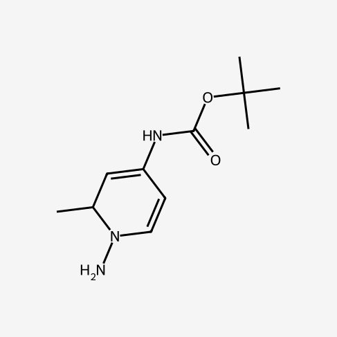 CC1C=C(NC(=O)OC(C)(C)C)C=CN1N